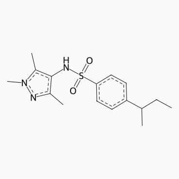 CCC(C)c1ccc(S(=O)(=O)Nc2c(C)nn(C)c2C)cc1